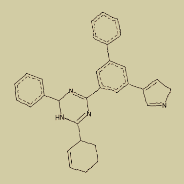 C1=CC(C2=NC(c3cc(C4=CCN=C4)cc(-c4ccccc4)c3)=NC(c3ccccc3)N2)CCC1